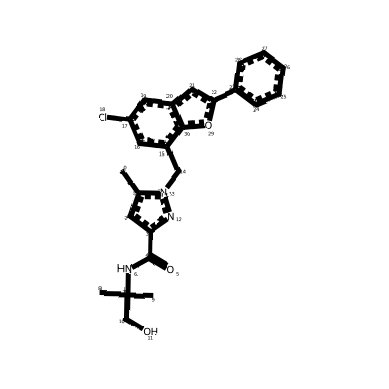 Cc1cc(C(=O)NC(C)(C)CO)nn1Cc1cc(Cl)cc2cc(-c3ccccc3)oc12